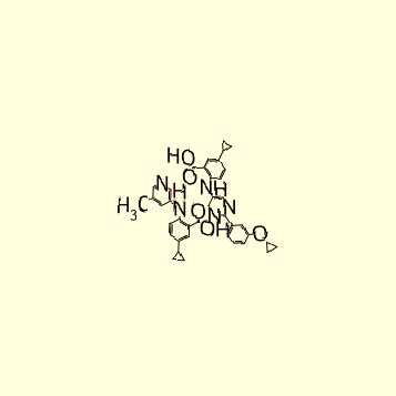 Cc1cncc(Nc2ccc(C3CC3)cc2C(=O)O)c1.O=C(O)c1cc(C2CC2)ccc1Nc1cnc(-c2cccc(OC3CC3)c2)nc1